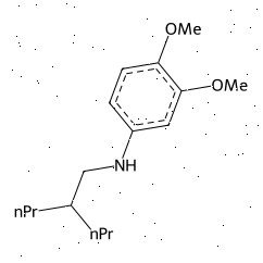 CCCC(CCC)CNc1ccc(OC)c(OC)c1